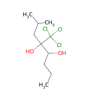 CCCC(O)C(O)(CC(C)C)C(Cl)(Cl)Cl